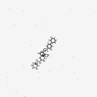 Cl.c1ccc(-c2ccc(COc3ccc4c(c3)CCC(CCN3CCCCC3)C4)cc2)cc1